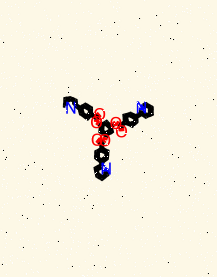 O=C(Oc1cc(OC(=O)c2ccc(-c3ccccn3)cc2)cc(OC(=O)c2ccc(-c3ccccn3)cc2)c1)c1ccc(-c2ccccn2)cc1